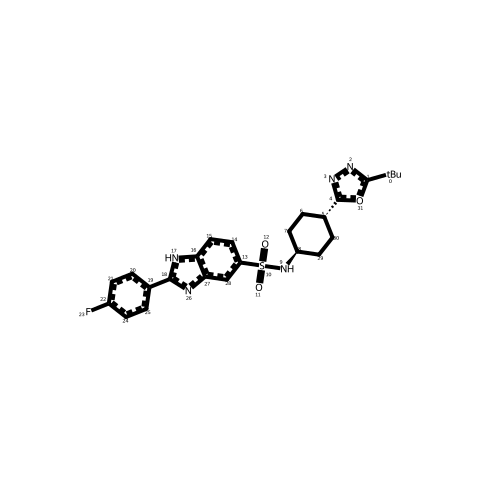 CC(C)(C)c1nnc([C@H]2CC[C@H](NS(=O)(=O)c3ccc4[nH]c(-c5ccc(F)cc5)nc4c3)CC2)o1